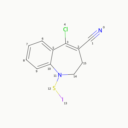 N#CC1=C(Cl)c2ccccc2N(SI)CC1